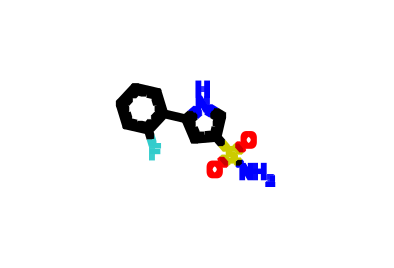 NS(=O)(=O)c1c[nH]c(-c2ccccc2F)c1